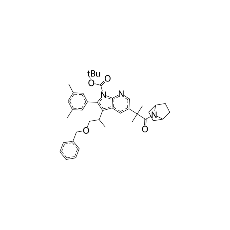 Cc1cc(C)cc(-c2c(C(C)COCc3ccccc3)c3cc(C(C)(C)C(=O)N4C5CCC4CC5)cnc3n2C(=O)OC(C)(C)C)c1